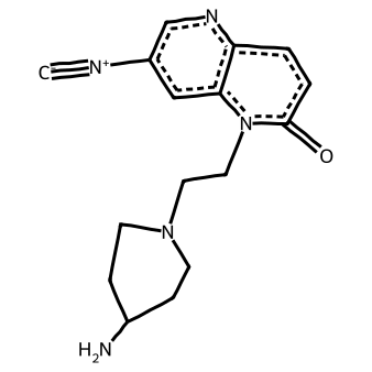 [C-]#[N+]c1cnc2ccc(=O)n(CCN3CCC(N)CC3)c2c1